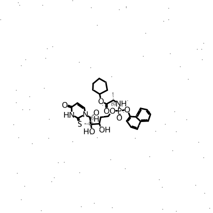 C[C@H](NP(=O)(OCCC(O)[C@@](C)(O)[C@@H](O)n1ccc(=O)[nH]c1=S)Oc1cccc2ccccc12)C(=O)OC1CCCCC1